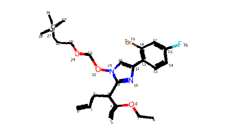 C=CCC(C(=C)OCC)c1nc(-c2ccc(F)cc2Br)cn1OCOCC[Si](C)(C)C